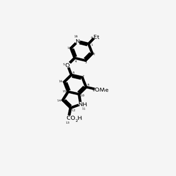 CCc1ccc(Oc2cc(OC)c3[nH]c(C(=O)O)cc3c2)cn1